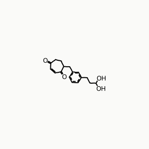 O=C1C=CC(=O)C(Cc2cccc(CCC(O)O)c2)CC1